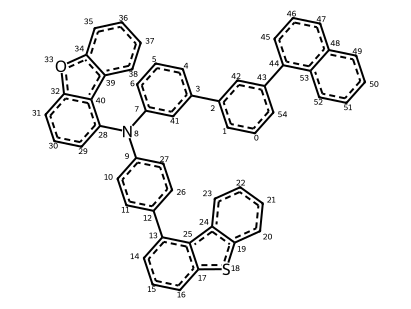 c1cc(-c2cccc(N(c3ccc(-c4cccc5sc6ccccc6c45)cc3)c3cccc4oc5ccccc5c34)c2)cc(-c2cccc3ccccc23)c1